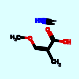 COC=C(C)C(=O)O.[C-]#[NH+]